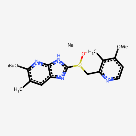 COc1ccnc(C[S+]([O-])c2nc3cc(C)c(OCC(C)C)nc3[nH]2)c1C.[Na]